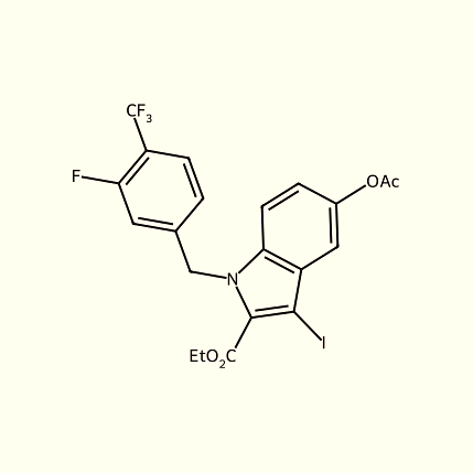 CCOC(=O)c1c(I)c2cc(OC(C)=O)ccc2n1Cc1ccc(C(F)(F)F)c(F)c1